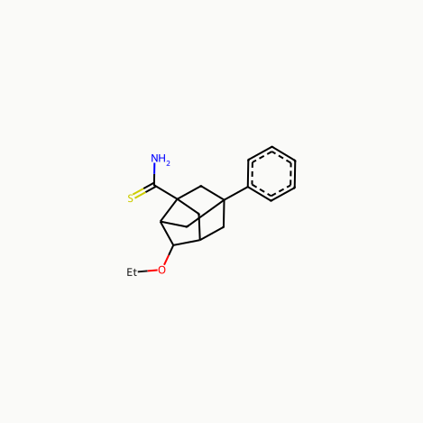 CCOC1C2CC3(c4ccccc4)CC1C(C(N)=S)(C2)C3